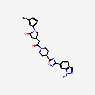 CC(C)n1ncc2ccc(-c3noc(C4CCN(C(=O)C[C@H]5CC(=O)N(c6cccc(C#N)c6)C5)CC4)n3)cc21